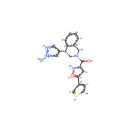 Cn1cc(C2CN(C(=O)c3cc(-c4ccsc4)on3)Cc3ccccc32)cn1